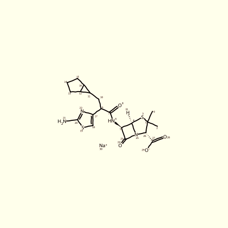 CC1(C)S[C@@H]2[C@H](NC(=O)C(CC3C4CCCC43)c3csc(N)n3)C(=O)N2[C@H]1C(=O)[O-].[Na+]